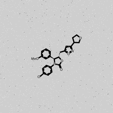 COc1cccc([C@H]2[C@H](Cc3cc(C4CCOC4)no3)OC(=O)N2c2ccc(Cl)cc2)c1